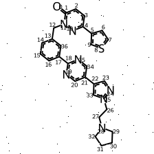 O=c1ccc(-c2ccsc2)nn1Cc1cccc(-c2ncc(-c3cnn(CCN4CCCC4)c3)cn2)c1